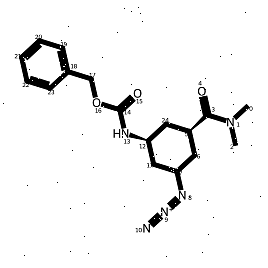 CN(C)C(=O)[C@H]1CC(N=[N+]=[N-])C[C@@H](NC(=O)OCc2ccccc2)C1